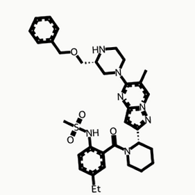 CCc1ccc(NS(C)(=O)=O)c(C(=O)N2CCCC[C@H]2c2cc3nc(N4CCN[C@@H](COCc5ccccc5)C4)c(C)cn3n2)c1